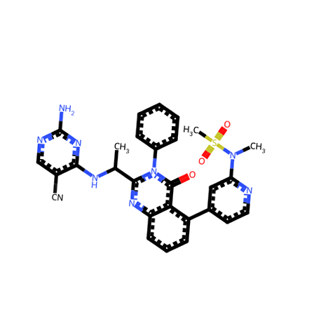 CC(Nc1nc(N)ncc1C#N)c1nc2cccc(-c3ccnc(N(C)S(C)(=O)=O)c3)c2c(=O)n1-c1ccccc1